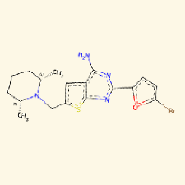 C[C@@H]1CCC[C@H](C)N1Cc1cc2c(N)nc(-c3ccc(Br)o3)nc2s1